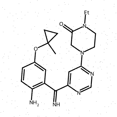 CCN1CCN(c2cc(C(=N)c3cc(OC4(C)CC4)ccc3N)ncn2)CC1=O